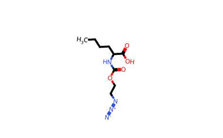 CCCCC(NC(=O)OCCN=[N+]=[N-])C(=O)O